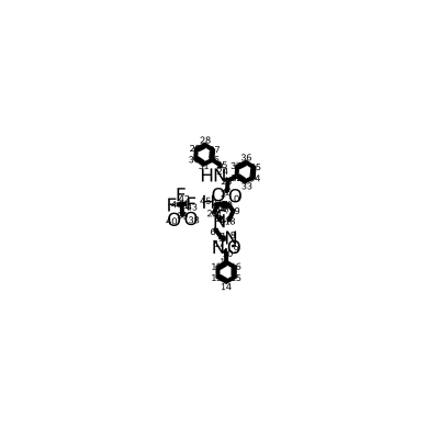 O=C(O[C@H]1C[N+]2(Cc3noc(-c4ccccc4)n3)CCC1CC2)C(NCc1ccccc1)c1ccccc1.O=C([O-])C(F)(F)F